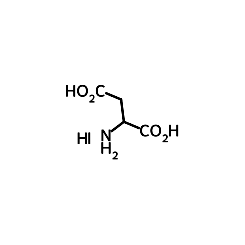 I.NC(CC(=O)O)C(=O)O